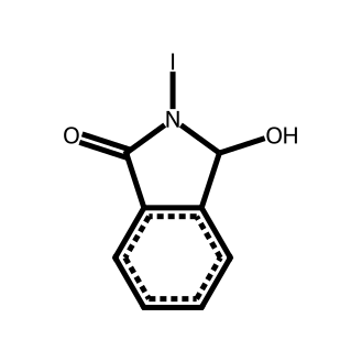 O=C1c2ccccc2C(O)N1I